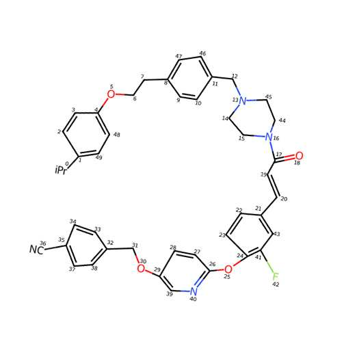 CC(C)c1ccc(OCCc2ccc(CN3CCN(C(=O)/C=C/c4ccc(Oc5ccc(OCc6ccc(C#N)cc6)cn5)c(F)c4)CC3)cc2)cc1